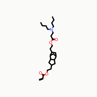 C=CC(=O)OCCC1CC2C3CC(CCOC(=O)CCN(CCCC)CCCC)C(C3)C2C1